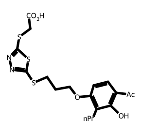 CCCc1c(OCCCSc2nnc(SCC(=O)O)s2)ccc(C(C)=O)c1O